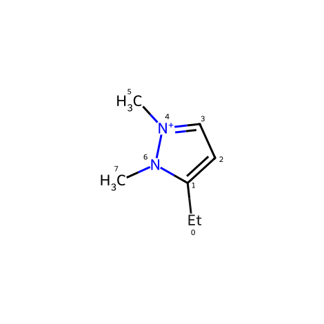 CCc1cc[n+](C)n1C